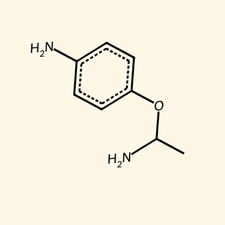 CC(N)Oc1ccc(N)cc1